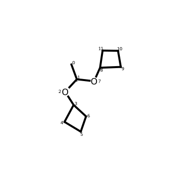 C[C](OC1CCC1)OC1CCC1